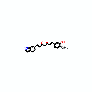 COc1ccc(C=CC(=O)CC(=O)C=Cc2ccc3cc[nH]c3c2)cc1O